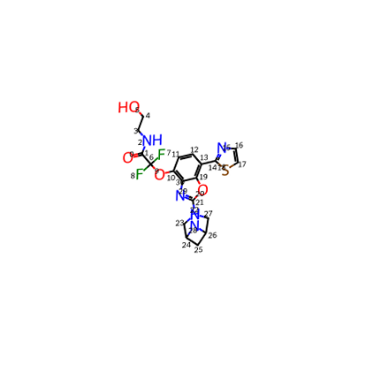 O=C(NCCO)C(F)(F)Oc1ccc(-c2nccs2)c2oc(N3CC4CC(C3)N4)nc12